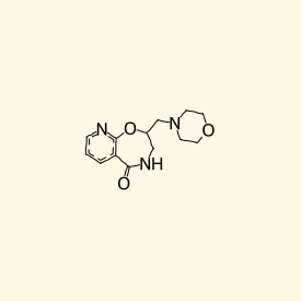 O=C1NCC(CN2CCOCC2)Oc2ncccc21